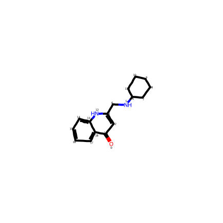 O=c1cc(CNC2CCCCC2)[nH]c2ccccc12